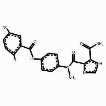 CN(C(=O)c1nc[nH]c1C(N)=O)c1ccc(NC(=O)c2cc(C#N)ccc2F)cc1